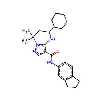 CC1(C)CC(C2CCCCC2)Nc2c(C(=O)Nc3ccc4c(c3)CCC4)cnn21